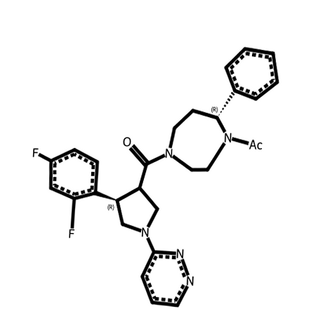 CC(=O)N1CCN(C(=O)C2CN(c3cccnn3)C[C@H]2c2ccc(F)cc2F)CC[C@@H]1c1ccccc1